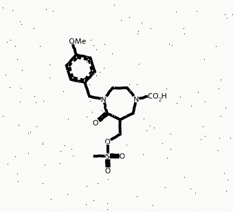 COc1ccc(CN2CCN(C(=O)O)CC(COS(C)(=O)=O)C2=O)cc1